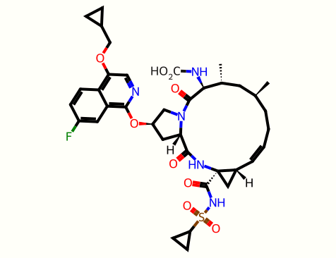 C[C@H]1CC/C=C\[C@@H]2C[C@@]2(C(=O)NS(=O)(=O)C2CC2)NC(=O)[C@@H]2C[C@@H](Oc3ncc(OCC4CC4)c4ccc(F)cc34)CN2C(=O)[C@@H](NC(=O)O)[C@H](C)C1